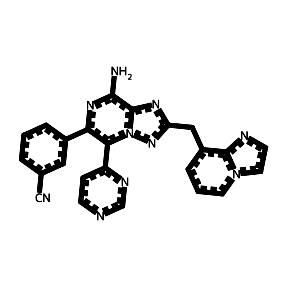 N#Cc1cccc(-c2nc(N)c3nc(Cc4cccn5ccnc45)nn3c2-c2ccncn2)c1